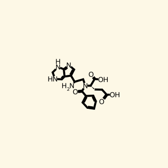 NC(CN(C(=O)c1ccccc1)[C@@H](CCC(=O)O)C(=O)O)C1=CN=C2NCNC=C12